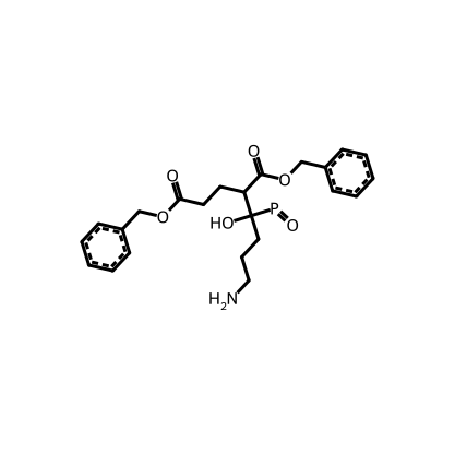 NCCCC(O)(P=O)C(CCC(=O)OCc1ccccc1)C(=O)OCc1ccccc1